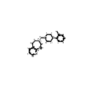 Cc1ccccc1C1CCN(C[C@H]2CCc3cccnc3NC2)CC1